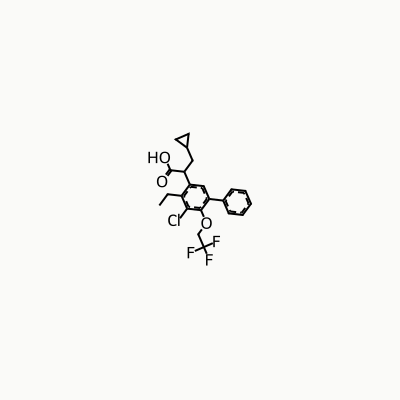 CCc1c(C(CC2CC2)C(=O)O)cc(-c2ccccc2)c(OCC(F)(F)F)c1Cl